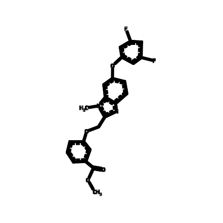 COC(=O)c1cccc(OCc2nc3ccc(Oc4cc(F)cc(F)c4)cc3n2C)c1